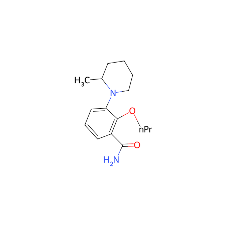 CCCOc1c(C(N)=O)cccc1N1CCCCC1C